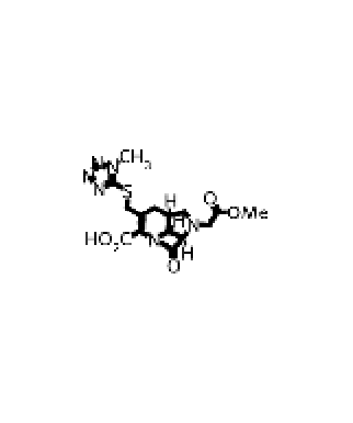 COC(=O)CN1C[C@H]2CC(CSc3nnnn3C)=C(C(=O)O)N3C(=O)[C@@H]1[C@@H]23